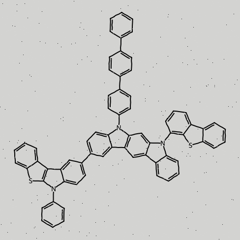 c1ccc(-c2ccc(-c3ccc(-n4c5ccc(-c6ccc7c(c6)c6c8ccccc8sc6n7-c6ccccc6)cc5c5cc6c7ccccc7n(-c7cccc8c7sc7ccccc78)c6cc54)cc3)cc2)cc1